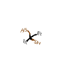 CCC(S)(S)CC